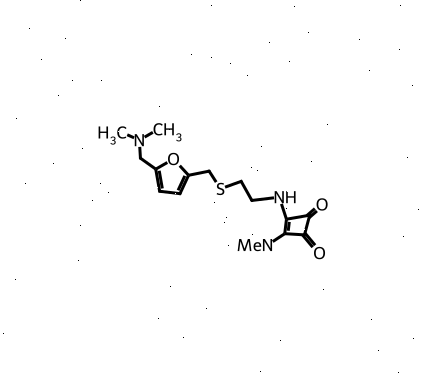 CNc1c(NCCSCc2ccc(CN(C)C)o2)c(=O)c1=O